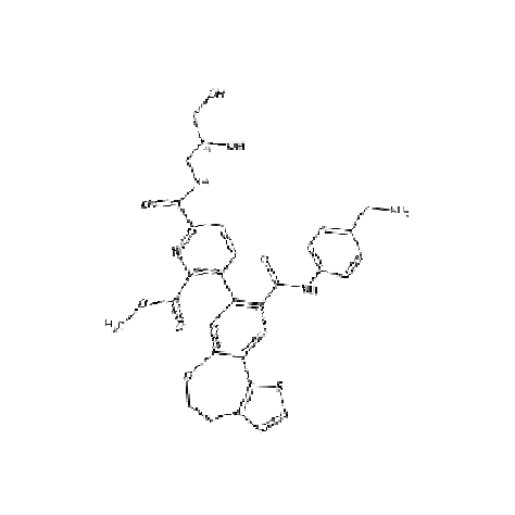 COC(=O)c1nc(C(=O)NC[C@H](O)CO)ccc1-c1cc2c(cc1C(=O)Nc1ccc(CN)cc1)-c1sccc1CCO2